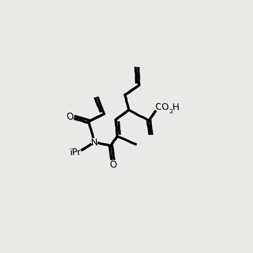 C=CCC(C=C(C)C(=O)N(C(=O)C=C)C(C)C)C(=C)C(=O)O